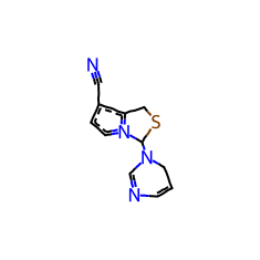 N#Cc1ccn2c1CSC2N1C=NC=CC1